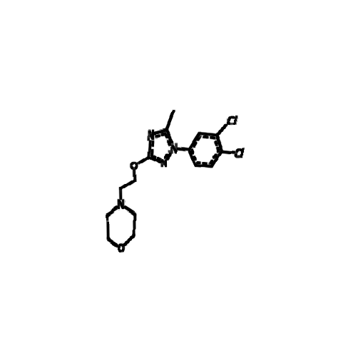 Cc1nc(OCCN2CCOCC2)nn1-c1ccc(Cl)c(Cl)c1